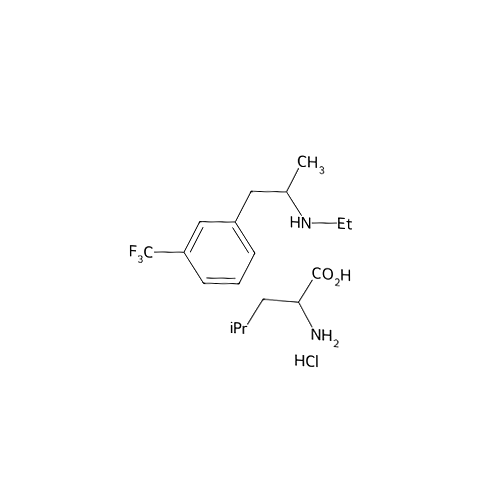 CC(C)CC(N)C(=O)O.CCNC(C)Cc1cccc(C(F)(F)F)c1.Cl